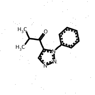 CC(C)C(=O)c1cnnn1-c1ccccc1